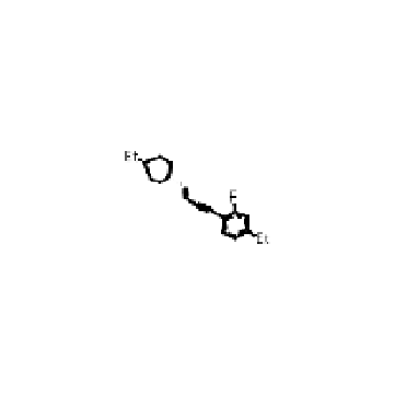 CCc1ccc(C#CC=C[C@H]2CC[C@H](CC)CC2)c(F)c1